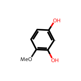 COc1ccc(O)[c]c1O